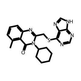 Cc1cccc2nc(CSc3ncnc4[nH]cnc34)n(C3CCCCC3)c(=O)c12